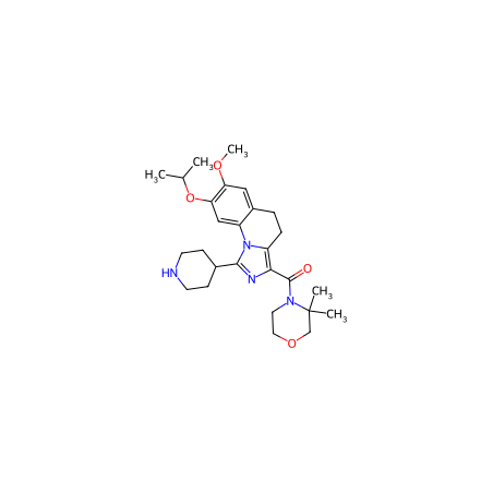 COc1cc2c(cc1OC(C)C)-n1c(C3CCNCC3)nc(C(=O)N3CCOCC3(C)C)c1CC2